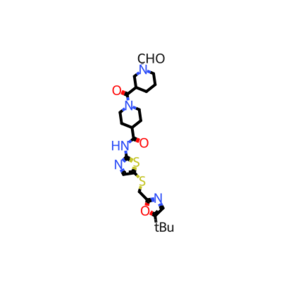 CC(C)(C)c1cnc(CSc2cnc(NC(=O)C3CCN(C(=O)C4CCCN(C=O)C4)CC3)s2)o1